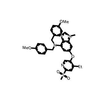 CCc1cc(S(C)(=O)=O)ncc1Oc1cc(N(Cc2ccc(OC)cc2)Cc2ccc(OC)cc2)c2ncn(C)c2c1